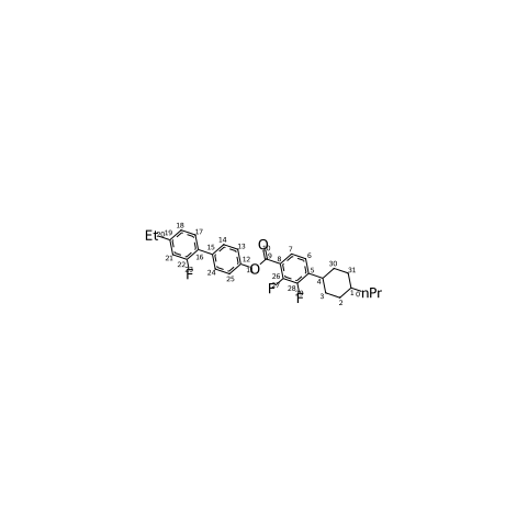 CCCC1CCC(c2ccc(C(=O)Oc3ccc(-c4ccc(CC)cc4F)cc3)c(F)c2F)CC1